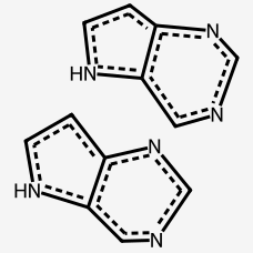 c1ncc2[nH]ccc2n1.c1ncc2[nH]ccc2n1